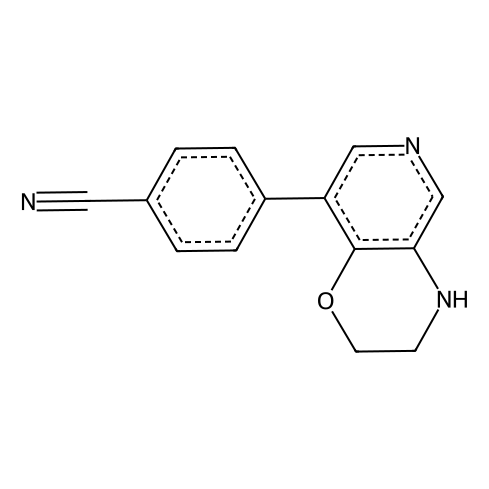 N#Cc1ccc(-c2cncc3c2OCCN3)cc1